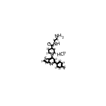 Cl.NCCNC(=O)C1CCN(c2cc(-c3ccc(F)cc3)nc3ccsc23)CC1